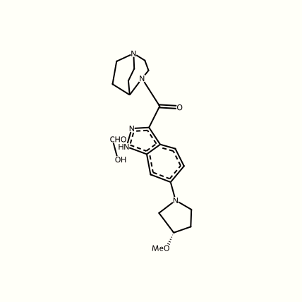 CO[C@H]1CCN(c2ccc3c(C(=O)N4CCN5CCC4CC5)n[nH]c3c2)C1.O=CO